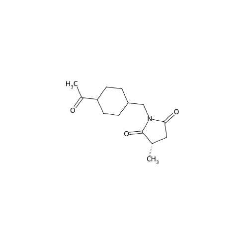 CC(=O)C1CCC(CN2C(=O)C[C@H](C)C2=O)CC1